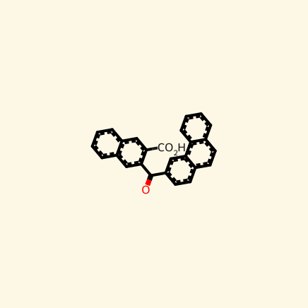 O=C(O)c1cc2ccccc2cc1C(=O)c1ccc2ccc3ccccc3c2c1